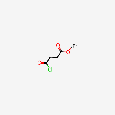 CC(C)OC(=O)CCC(=O)Cl